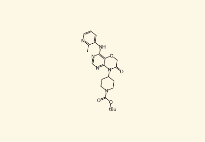 Cc1ncccc1Nc1ncnc2c1OCC(=O)N2C1CCN(C(=O)OC(C)(C)C)CC1